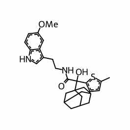 COc1ccc2[nH]cc(CCNC(=O)C(O)(c3ccc(C)s3)C34CC5CC(CC(C5)C3)C4)c2c1